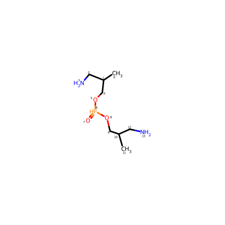 CC(CN)CO[PH](=O)OCC(C)CN